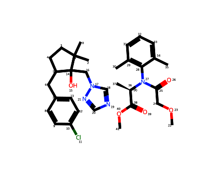 CC1(C)CCC(Cc2ccc(Cl)cc2)C1(O)Cn1cncn1.COCC(=O)N(c1c(C)cccc1C)[C@H](C)C(=O)OC